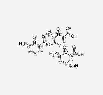 O=C(O)c1cccc(P)[n+]1[O-].O=C(O)c1cccc(P)[n+]1[O-].O=C(O)c1cccc(P)[n+]1[O-].[NaH]